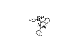 OB(O)c1nc(-c2ccccc2)nc2ccccc12